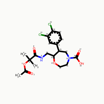 CC(=O)OC(C)(C)C(=O)NCC1OCCN(C(=O)O)CC1c1ccc(Cl)c(Cl)c1